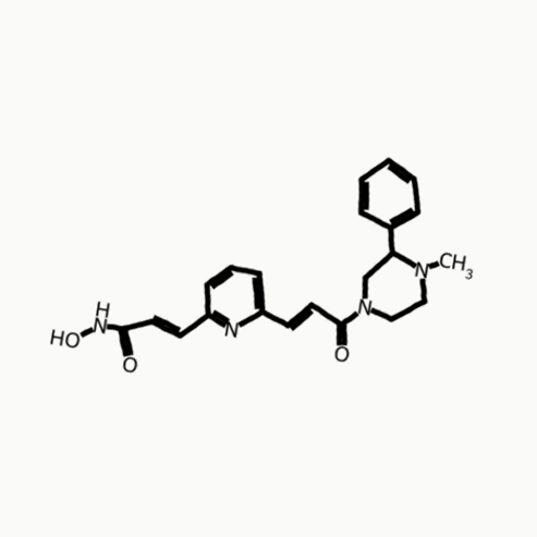 CN1CCN(C(=O)/C=C/c2cccc(/C=C/C(=O)NO)n2)CC1c1ccccc1